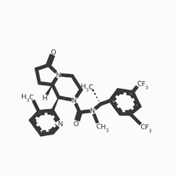 Cc1cccnc1[C@H]1[C@@H]2CCC(=O)N2CCN1C(=O)N(C)[C@H](C)c1cc(C(F)(F)F)cc(C(F)(F)F)c1